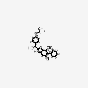 CCSc1ccc(C(O)c2nc3c(Cl)c(-c4ccccc4F)c(Cl)cc3[nH]2)cc1